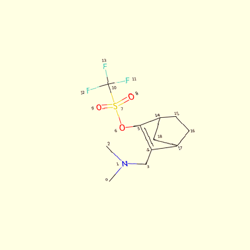 CN(C)CC1=C(OS(=O)(=O)C(F)(F)F)C2CCC1C2